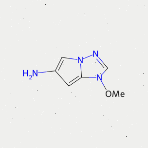 COn1cnn2cc(N)cc12